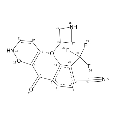 N#Cc1ccc(C(=O)C2=CC=CNO2)c(OC2CNC2)c1C(F)(F)F